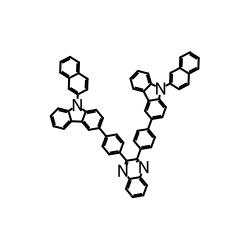 c1ccc2cc(-n3c4ccccc4c4cc(-c5ccc(-c6nc7ccccc7nc6-c6ccc(-c7ccc8c(c7)c7ccccc7n8-c7ccc8ccccc8c7)cc6)cc5)ccc43)ccc2c1